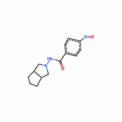 O=Nc1ccc(C(=O)NN2CC3CCCC3C2)cc1